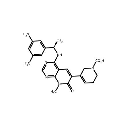 C[C@@H](Nc1ncnc2c1cc(C1=CCCN(C(=O)O)C1)c(=O)n2C)c1cc([N+](=O)[O-])cc(C(F)(F)F)c1